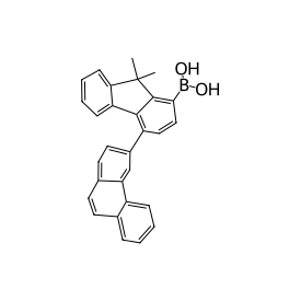 CC1(C)c2ccccc2-c2c(-c3ccc4ccc5ccccc5c4c3)ccc(B(O)O)c21